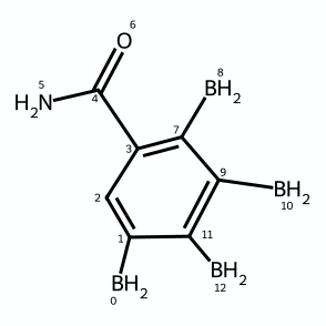 Bc1cc(C(N)=O)c(B)c(B)c1B